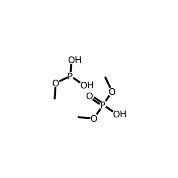 COP(=O)(O)OC.COP(O)O